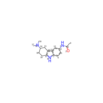 CC(=O)Nc1ccc2[nH]c3c(c2c1)CC(N(C)C)CC3